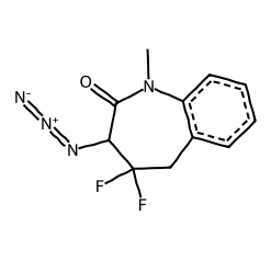 CN1C(=O)C(N=[N+]=[N-])C(F)(F)Cc2ccccc21